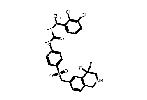 CC(NC(=O)Nc1ccc(S(=O)(=O)Cc2ccc3c(c2)C(F)(F)CNC3)cc1)c1cccc(Cl)c1Cl